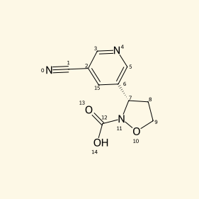 N#Cc1cncc([C@@H]2CCON2C(=O)O)c1